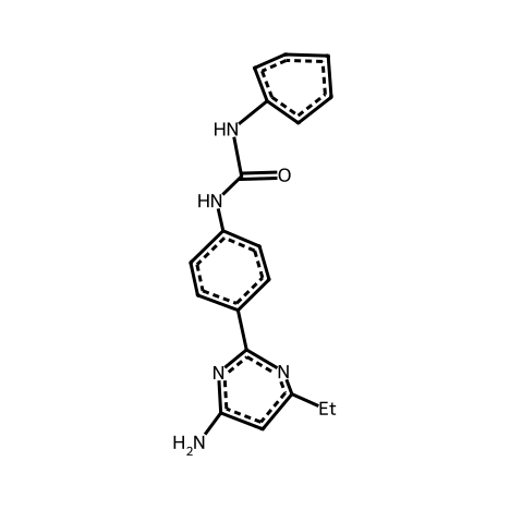 CCc1cc(N)nc(-c2ccc(NC(=O)Nc3ccccc3)cc2)n1